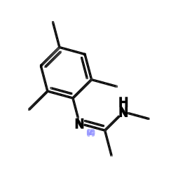 CN/C(C)=N\c1c(C)cc(C)cc1C